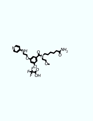 COCCN(CCCCCC(N)=O)C(=O)c1cc(Cl)cc(OCCNc2ccncc2)c1.O=C(O)C(F)(F)F